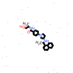 C[C@@H](CO)NC(=O)c1ccc(N2CC[C@H](N[C@H](C)c3cccc4ccccc34)C2)cc1